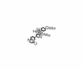 COc1ccc(S(=O)(=O)Nc2cc(-c3ccc4nccc(=O)n4c3)cnc2OC)cc1